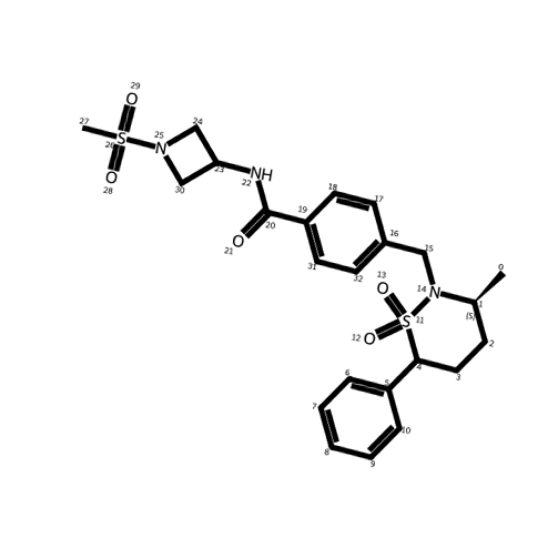 C[C@H]1CCC(c2ccccc2)S(=O)(=O)N1Cc1ccc(C(=O)NC2CN(S(C)(=O)=O)C2)cc1